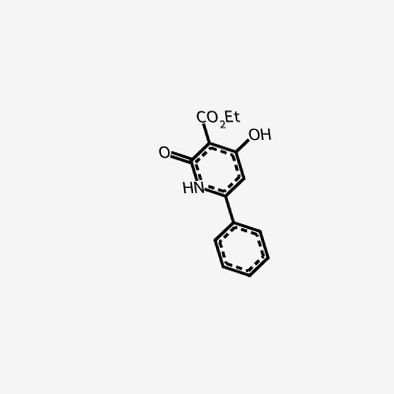 CCOC(=O)c1c(O)cc(-c2ccccc2)[nH]c1=O